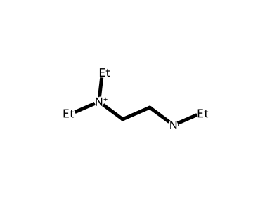 CC[N]CC[N+](CC)CC